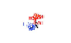 C=C[C@]1(C)[C@H](O)[C@@H](COP(=O)(O)OP(=O)(O)OP(=O)(O)O)O[C@H]1n1cnc2c(NC)nc(N)nc21